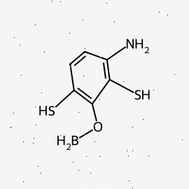 BOc1c(S)ccc(N)c1S